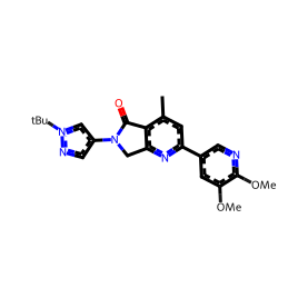 COc1cc(-c2cc(C)c3c(n2)CN(c2cnn(C(C)(C)C)c2)C3=O)cnc1OC